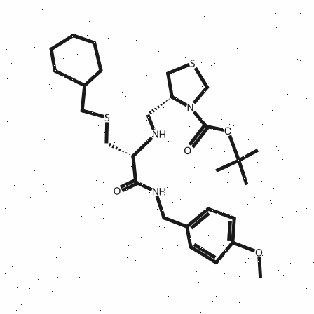 COc1ccc(CNC(=O)[C@H](CSCC2CCCCC2)NC[C@@H]2CSCN2C(=O)OC(C)(C)C)cc1